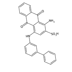 Nc1c(S(=O)(=O)O)cc(Nc2cccc(-c3ccccc3)c2)c2c1C(=O)c1ccccc1C2=O